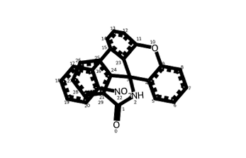 O=C1NC2(c3ccccc3Oc3cccc(-c4ccccc4[N+](=O)[O-])c32)c2ccccc21